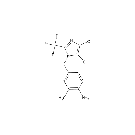 Cc1nc(Cn2c(C(F)(F)F)nc(Cl)c2Cl)ccc1N